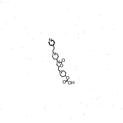 O=C(O)OC1CCN(CC2CN(C3CCN(CCc4ccncc4)CC3)C(=O)O2)CC1